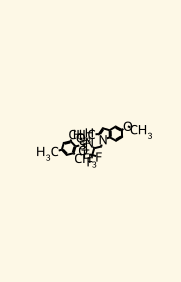 COc1ccc2c(c1)cc(C)n2CC(NS(=O)(=O)c1c(C)cc(C)cc1C)C(F)(F)F